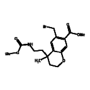 COC(=O)c1cc2c(cc1CBr)C(C)(CCNC(=O)OC(C)(C)C)CCO2